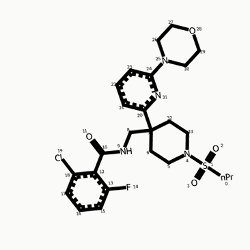 CCCS(=O)(=O)N1CCC(CNC(=O)c2c(F)cccc2Cl)(c2cccc(N3CCOCC3)n2)CC1